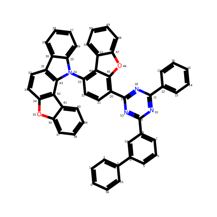 c1ccc(-c2cccc(-c3nc(-c4ccccc4)nc(-c4ccc(-n5c6ccccc6c6ccc7oc8ccccc8c7c65)c5c4oc4ccccc45)n3)c2)cc1